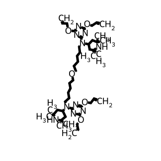 C=CCOc1nc(OCC=C)nc(N(CCCCCCOCCCCCCN(c2nc(OCC=C)nc(OCC=C)n2)C2CC(C)(C)NC(C)(C)C2)C2CC(C)(C)NC(C)(C)C2)n1